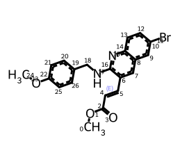 COC(=O)/C=C/c1cc2cc(Br)ccc2nc1NCc1ccc(OC)cc1